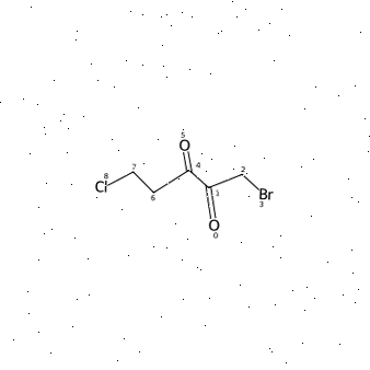 O=C(CBr)C(=O)CCCl